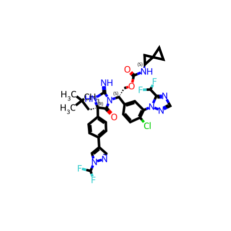 CC(C)(C)C[C@]1(c2ccc(-c3cnn(C(F)F)c3)cc2)NC(=N)N([C@H](COC(=O)N[C@H]2CC23CC3)c2ccc(Cl)c(-n3ncnc3C(F)F)c2)C1=O